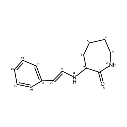 O=C1NCCCCC1NC=Cc1ccccc1